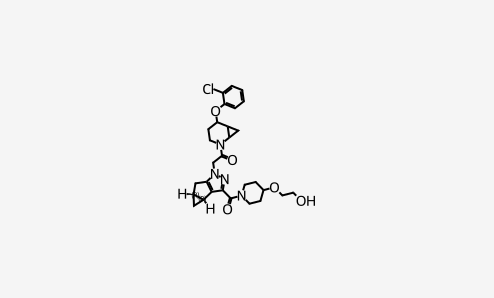 O=C(c1nn(CC(=O)N2CCC(Oc3ccccc3Cl)C3CC32)c2c1[C@@H]1C[C@@H]1C2)N1CCC(OCCO)CC1